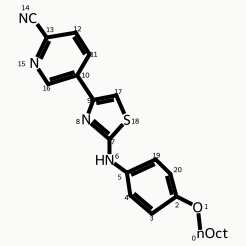 CCCCCCCCOc1ccc(Nc2nc(-c3ccc(C#N)nc3)cs2)cc1